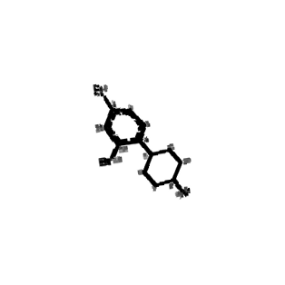 CCc1ccc(C2CCC([N])CC2)c(Br)c1